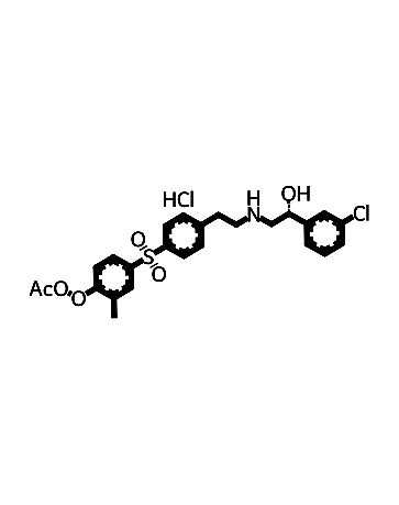 CC(=O)OOc1ccc(S(=O)(=O)c2ccc(CCNC[C@H](O)c3cccc(Cl)c3)cc2)cc1C.Cl